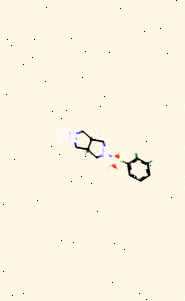 O=S(=O)(c1cccc(Cl)c1F)N1C[C@H]2CNC[C@H]2C1